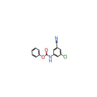 N#Cc1cc(Cl)cc(NC(=O)Oc2ccccc2)c1